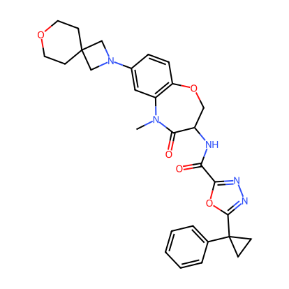 CN1C(=O)C(NC(=O)c2nnc(C3(c4ccccc4)CC3)o2)COc2ccc(N3CC4(CCOCC4)C3)cc21